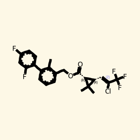 Cc1c(COC(=O)[C@@H]2[C@H](/C=C(\Cl)C(F)(F)F)C2(C)C)cccc1-c1ccc(F)cc1F